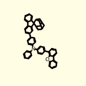 c1ccc(N(c2ccc(-c3ccc4c(c3)C3(c5ccccc5-4)C4CC5CC(C4)CC3C5)cc2)c2ccc(-c3cccc4c3oc3ccccc34)cc2)cc1